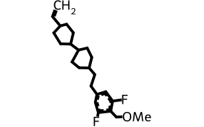 C=CC1CCC(C2CCC(CCc3cc(F)c(COC)c(F)c3)CC2)CC1